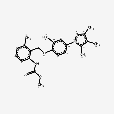 COC(=O)Nc1cccc(C)c1COc1ccc(-n2nc(C)c(C)c2C)cc1C